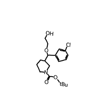 CC(C)(C)OC(=O)N1CCCC(C(OCCO)c2cccc(Cl)c2)C1